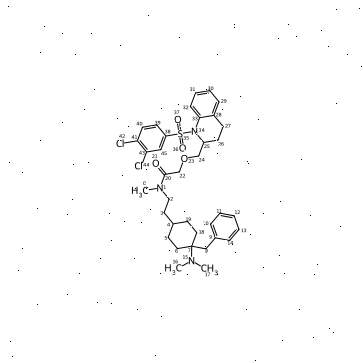 CN(CCC1CCC(Cc2ccccc2)(N(C)C)CC1)C(=O)COCC1CCc2ccccc2N1S(=O)(=O)c1ccc(Cl)c(Cl)c1